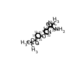 Cc1noc(-c2ccc(O[C@H]3CCC[C@H](C(=O)OC(C)C)C3)cn2)c1CN